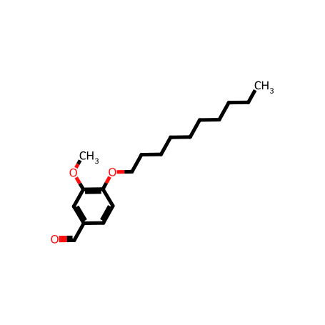 CCCCCCCCCCOc1ccc(C=O)cc1OC